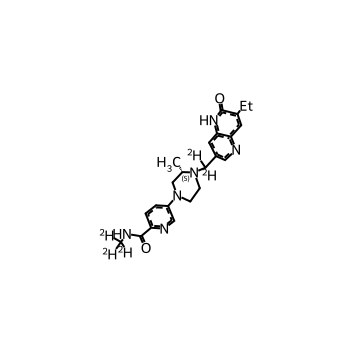 [2H]C([2H])([2H])NC(=O)c1ccc(N2CCN(C([2H])([2H])c3cnc4cc(CC)c(=O)[nH]c4c3)[C@@H](C)C2)cn1